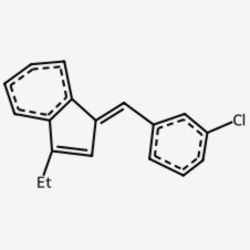 [CH2]CC1=CC(=Cc2cccc(Cl)c2)c2ccccc21